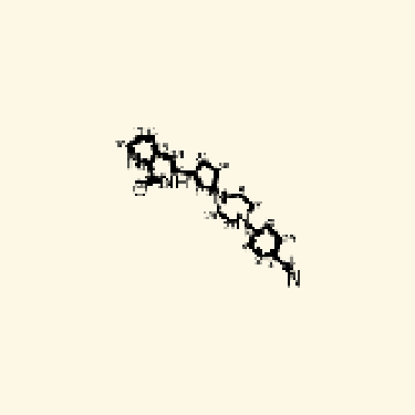 N#Cc1ccc(N2CCN([C@H]3C=C(c4cc5cccnc5c(=O)[nH]4)CC3)CC2)cc1